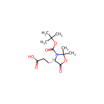 CC(C)(C)OC(=O)N1[C@@H](CCC(=O)O)C(=O)OC1(C)C